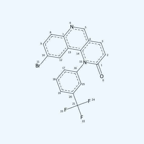 O=c1ccc2cnc3ccc(Br)cc3c2n1-c1cccc(C(F)(F)F)c1